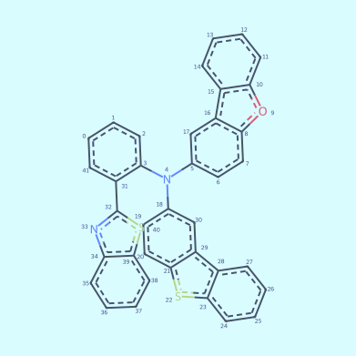 c1ccc(N(c2ccc3oc4ccccc4c3c2)c2ccc3sc4ccccc4c3c2)c(-c2nc3ccccc3s2)c1